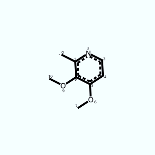 [CH2]c1nccc(OC)c1OC